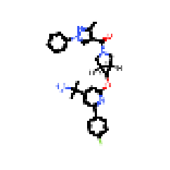 Cc1nn(-c2ccccc2)cc1C(=O)N1C[C@@H]2C(Oc3cc(C(C)(C)N)cc(-c4ccc(F)cc4)n3)[C@@H]2C1